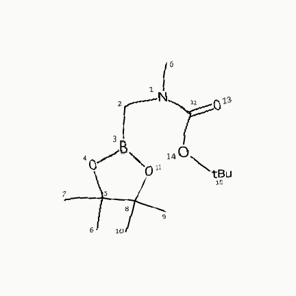 CN(CB1OC(C)(C)C(C)(C)O1)C(=O)OC(C)(C)C